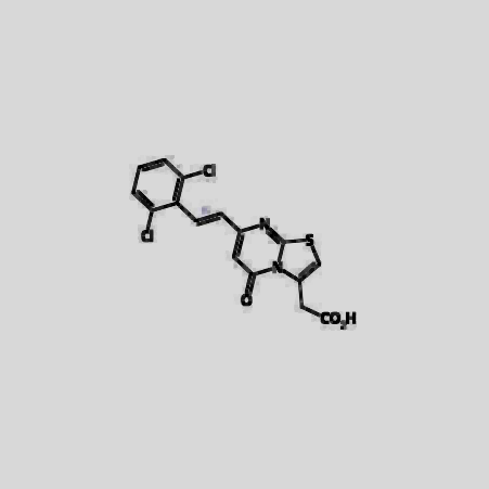 O=C(O)Cc1csc2nc(/C=C/c3c(Cl)cccc3Cl)cc(=O)n12